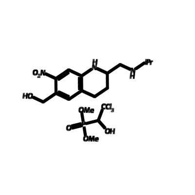 CC(C)NCC1CCc2cc(CO)c([N+](=O)[O-])cc2N1.COP(=O)(OC)C(O)C(Cl)(Cl)Cl